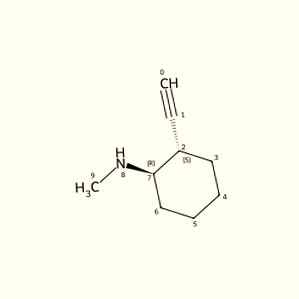 C#C[C@@H]1CCCC[C@H]1NC